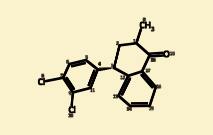 CC1C[C@@H](c2ccc(Cl)c(Cl)c2)c2ccccc2C1=O